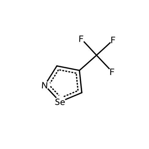 FC(F)(F)c1cn[se]c1